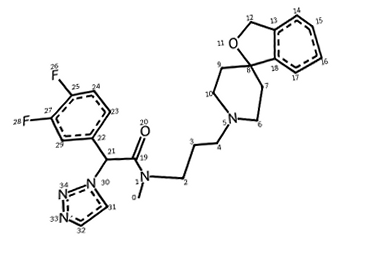 CN(CCCN1CCC2(CC1)OCc1ccccc12)C(=O)C(c1ccc(F)c(F)c1)n1ccnn1